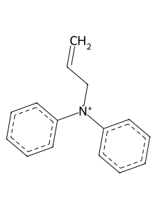 C=CC[N+](c1ccccc1)c1ccccc1